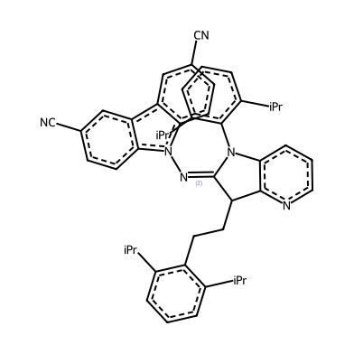 CC(C)c1cccc(C(C)C)c1CCC1/C(=N/n2c3ccc(C#N)cc3c3cc(C#N)ccc32)N(c2c(C(C)C)cccc2C(C)C)c2cccnc21